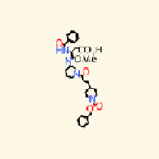 COC(=NC1CCCN(C(=O)CCC2CCN(C(=O)OCc3ccccc3)CC2)C1)[C@H](CC(=O)O)NC(=O)c1ccccc1